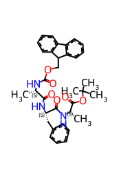 C[C@H](NC(=O)OCC1c2ccccc2-c2ccccc21)C(=O)N[C@@H](Cc1ccccc1)C(=O)N[C@@H](C)C(=O)OC(C)(C)C